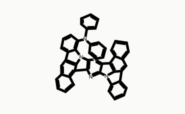 c1ccc(N(c2ccccc2)c2cccc3c4cc5ccccc5c5c6nc7c(nc6n(c23)c45)c2c3ccccc3cc3c4ccccc4n7c32)cc1